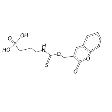 O=c1oc2ccccc2cc1COC(=S)NCCCP(=O)(O)O